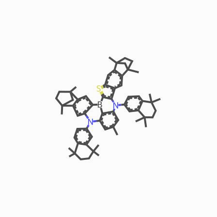 Cc1cc2c3c(c1)N(c1ccc4c(c1)C(C)(C)CCC4(C)C)c1c(sc4cc5c(cc14)C1(C)CCC5(C)C1)B3c1cc3c(cc1N2c1ccc2c(c1)C(C)(C)CCC2(C)C)C1(C)CCC3(C)C1